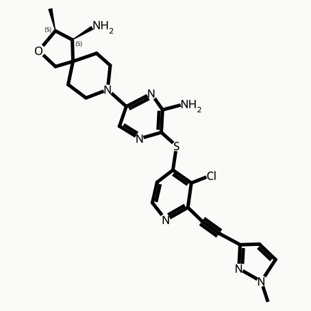 C[C@@H]1OCC2(CCN(c3cnc(Sc4ccnc(C#Cc5ccn(C)n5)c4Cl)c(N)n3)CC2)[C@@H]1N